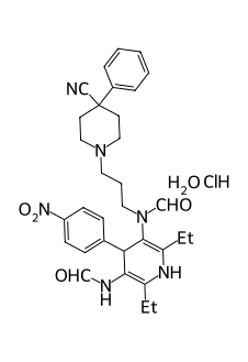 CCC1=C(NC=O)C(c2ccc([N+](=O)[O-])cc2)C(N(C=O)CCCN2CCC(C#N)(c3ccccc3)CC2)=C(CC)N1.Cl.O